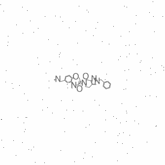 C=NCc1ccc2c(c1)N(C)C(=O)[C@@H](N1CCc3cn(Cc4ccccc4)nc3C1=O)CO2